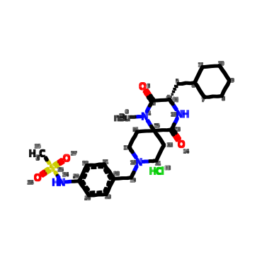 CCCCN1C(=O)[C@H](CC2CCCCC2)NC(=O)C12CCN(Cc1ccc(NS(C)(=O)=O)cc1)CC2.Cl